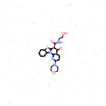 O=C(NCCO)c1c(=O)c2ccc(N3CCOCC3)nc2n2c1sc1ccccc12